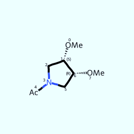 CO[C@H]1CN(C(C)=O)C[C@H]1OC